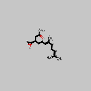 COC(=O)CC(CC/C=C(\C)CCC=C(C)C)C1CO1